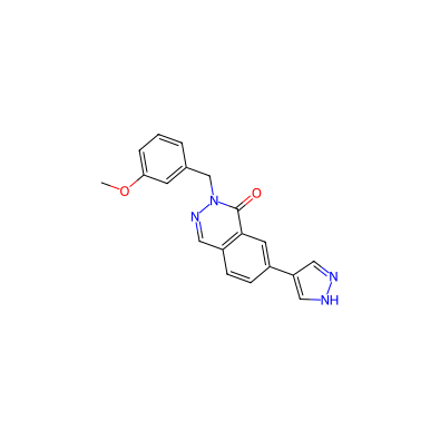 COc1cccc(Cn2ncc3ccc(-c4cn[nH]c4)cc3c2=O)c1